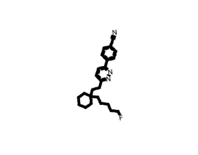 N#Cc1ccc(-c2ccc(CCC3(CCCCCF)CCCCC3)nn2)cc1